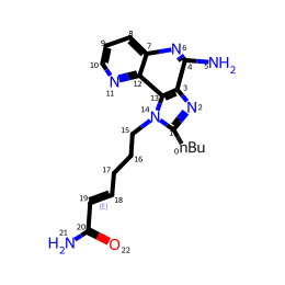 CCCCc1nc2c(N)nc3cccnc3c2n1CCC/C=C/C(N)=O